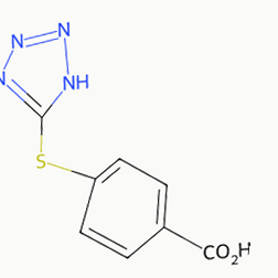 O=C(O)c1ccc(Sc2nnn[nH]2)cc1